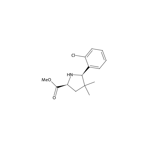 COC(=O)[C@@H]1CC(C)(C)[C@H](c2ccccc2Cl)N1